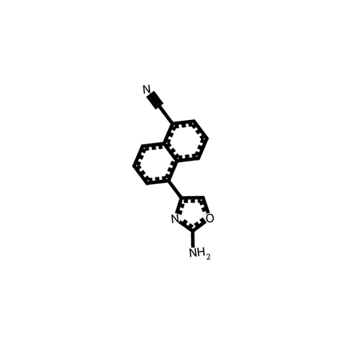 N#Cc1cccc2c(-c3coc(N)n3)cccc12